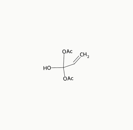 C=CC(O)(OC(C)=O)OC(C)=O